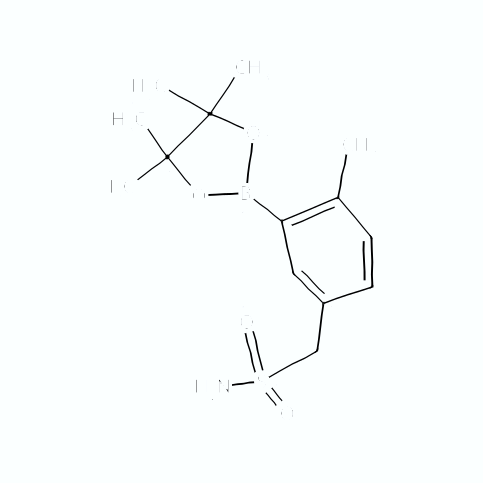 Cc1ccc(CS(N)(=O)=O)cc1B1OC(C)(C)C(C)(C)O1